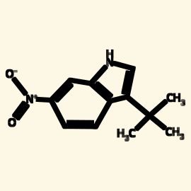 CC(C)(C)c1c[nH]c2cc([N+](=O)[O-])ccc12